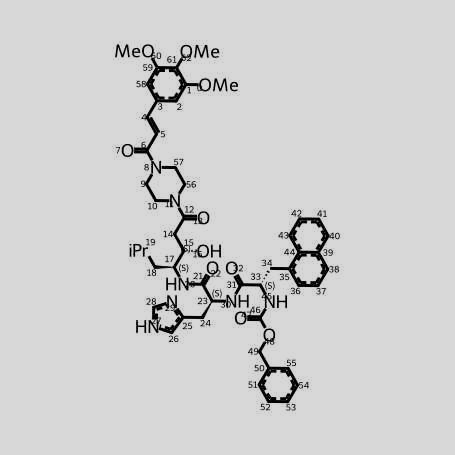 COc1cc(C=CC(=O)N2CCN(C(=O)C[C@H](O)[C@H](CC(C)C)NC(=O)[C@H](Cc3c[nH]cn3)NC(=O)[C@H](Cc3cccc4ccccc34)NC(=O)OCc3ccccc3)CC2)cc(OC)c1OC